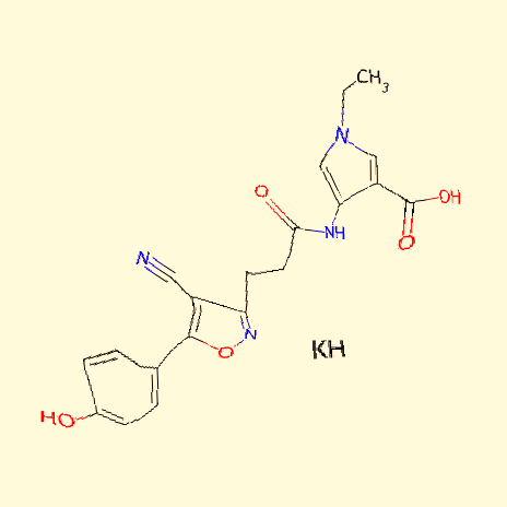 CCn1cc(NC(=O)CCc2noc(-c3ccc(O)cc3)c2C#N)c(C(=O)O)c1.[KH]